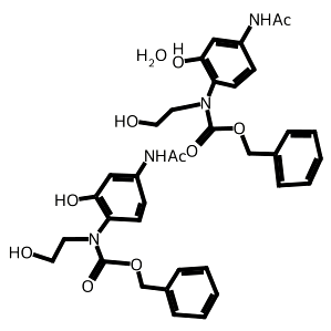 CC(=O)Nc1ccc(N(CCO)C(=O)OCc2ccccc2)c(O)c1.CC(=O)Nc1ccc(N(CCO)C(=O)OCc2ccccc2)c(O)c1.O